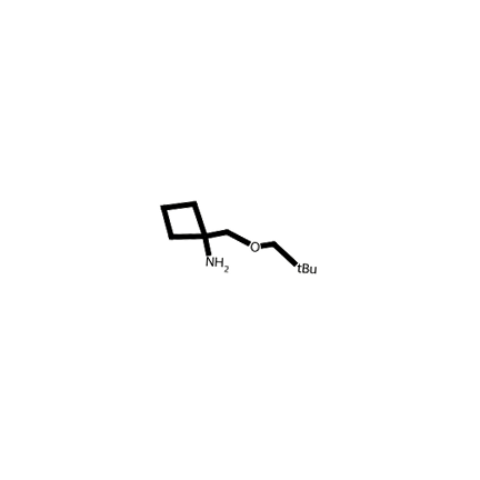 CC(C)(C)COCC1(N)CCC1